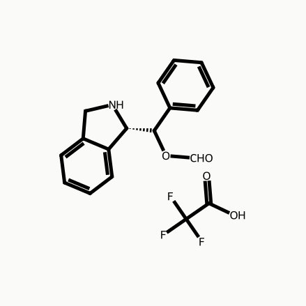 O=C(O)C(F)(F)F.O=COC(c1ccccc1)[C@H]1NCc2ccccc21